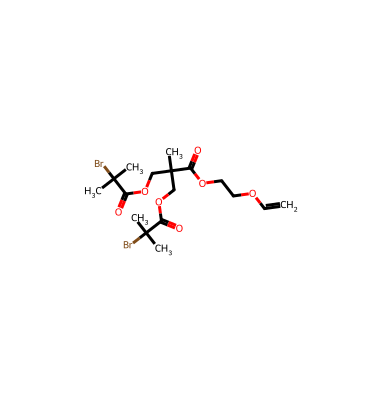 C=COCCOC(=O)C(C)(COC(=O)C(C)(C)Br)COC(=O)C(C)(C)Br